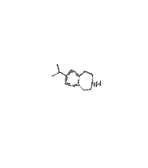 CC(C)c1ccc2c(c1)CCNCC2